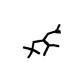 CNCC(CC(C)(C)C)C(C)C